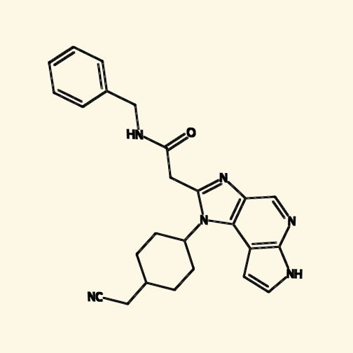 N#CCC1CCC(n2c(CC(=O)NCc3ccccc3)nc3cnc4[nH]ccc4c32)CC1